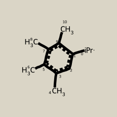 C[C](C)c1cc(C)c(C)c(C)c1C